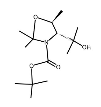 C[C@@H]1OC(C)(C)N(C(=O)OC(C)(C)C)[C@H]1C(C)(C)O